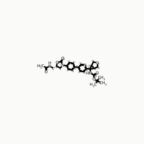 CC(=O)NC[C@H]1CN(c2ccc(-c3ccc(C4(NC(=O)OC(C)(C)C)C5COCC54)nc3)cc2)C(=O)O1